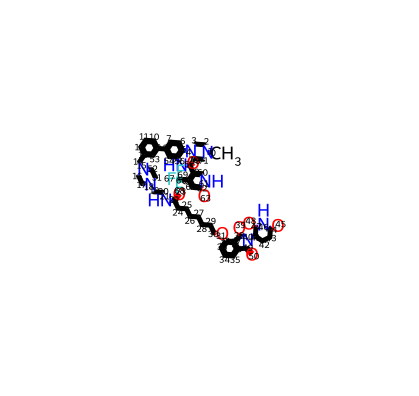 CN1CCN(c2ccc(-c3cccc(CN4CCN(CCNC(=O)CCCCCCCOc5cccc6c5C(=O)N(C5CCC(=O)NC5=O)C6=O)CC4)c3)cc2NC(=O)c2c[nH]c(=O)cc2C(F)(F)F)CC1